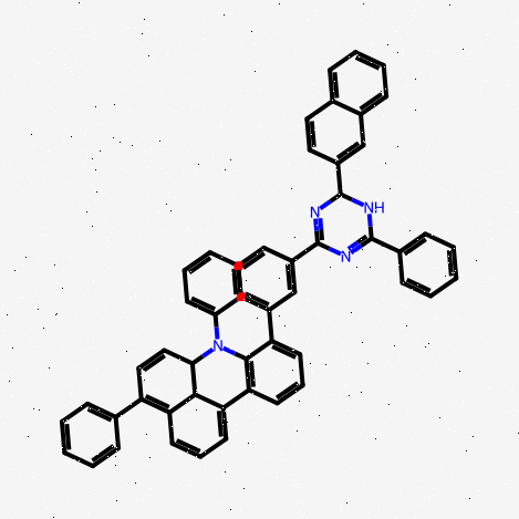 C1=CC2=C(c3ccccc3)C=CC3C2C(=C1)c1cccc(-c2cccc(C4=NC(c5ccc6ccccc6c5)NC(c5ccccc5)=N4)c2)c1N3c1ccccc1